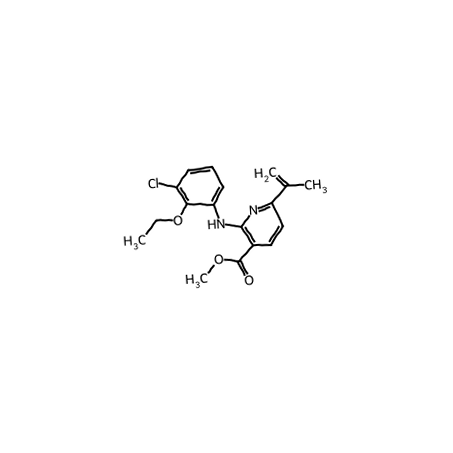 C=C(C)c1ccc(C(=O)OC)c(Nc2cccc(Cl)c2OCC)n1